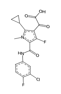 Cn1c(C(=O)Nc2ccc(F)c(Cl)c2)c(F)c(C(=O)C(=O)O)c1C1CC1